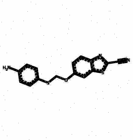 N#Cc1nc2ccc(OCSc3ccc(N)cc3)cc2s1